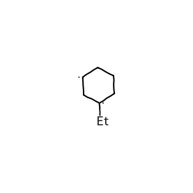 CC[C]1C[CH]CCC1